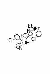 CCN(CC)c1nc2ccc(C(O)(c3cccnc3)c3cccc(Cl)c3)cc2c(Cl)c1-c1ccccc1